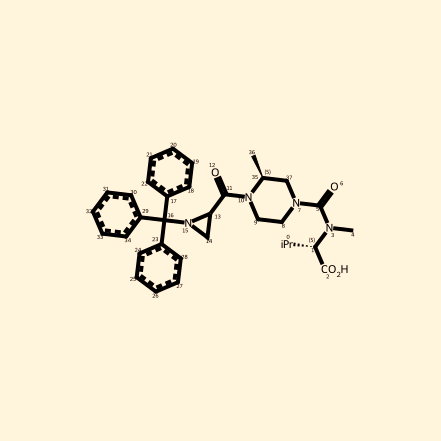 CC(C)[C@@H](C(=O)O)N(C)C(=O)N1CCN(C(=O)C2CN2C(c2ccccc2)(c2ccccc2)c2ccccc2)[C@@H](C)C1